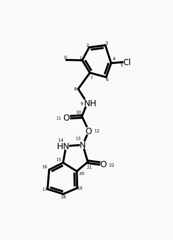 Cc1ccc(Cl)cc1CNC(=O)On1[nH]c2ccccc2c1=O